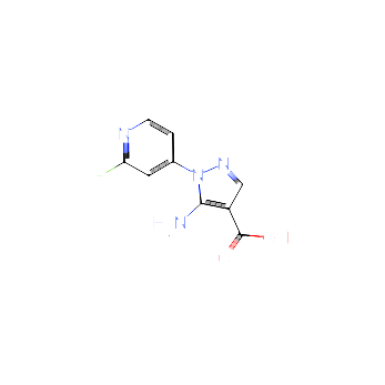 Nc1c(C(=O)O)cnn1-c1ccnc(F)c1